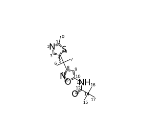 Cc1ncc(C(C)(C)c2cc(NC(=O)C(C)(C)C)on2)s1